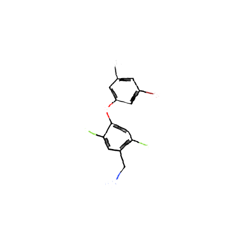 NCc1cc(F)c(Oc2cc(Br)cc(C(F)(F)F)c2)cc1F